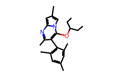 CCC(CC)Oc1c(-c2c(C)cc(C)cc2C)c(C)nc2cc(C)cn12